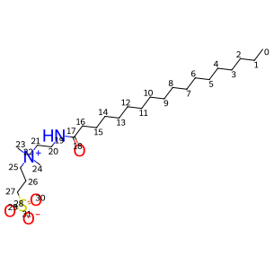 CCCCCCCCCCCCCCCCCC(=O)NCC[N+](C)(C)CCCS(=O)(=O)[O-]